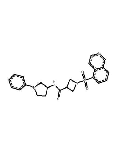 O=C(NC1CCN(c2ccccc2)C1)C1CN(S(=O)(=O)c2cccc3cnccc23)C1